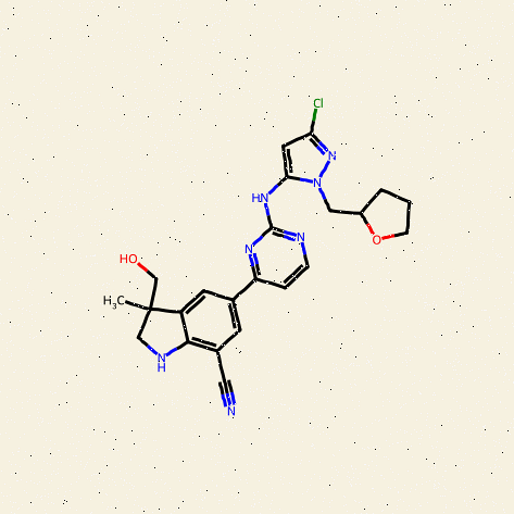 CC1(CO)CNc2c(C#N)cc(-c3ccnc(Nc4cc(Cl)nn4CC4CCCO4)n3)cc21